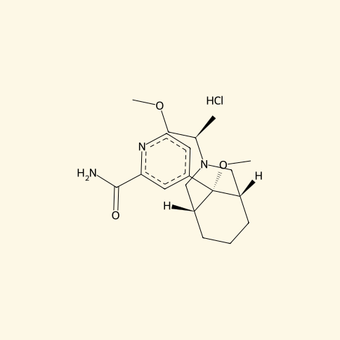 COC[C@@H](C)N1C[C@H]2CCC[C@@H](C1)[C@]2(OC)c1ccnc(C(N)=O)c1.Cl